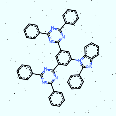 c1ccc(-c2nc(-c3ccccc3)nc(-c3cc(-c4nc(-c5ccccc5)nc(-c5ccccc5)n4)cc(-n4c(-c5ccccc5)nc5ccccc54)c3)n2)cc1